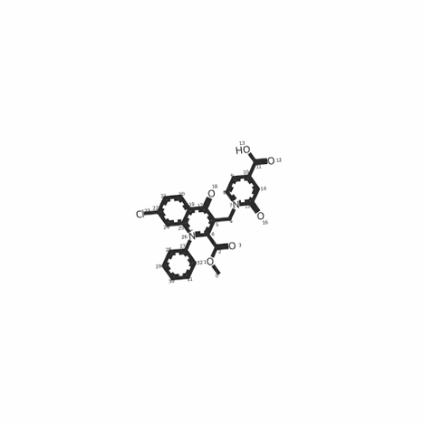 COC(=O)c1c(Cn2ccc(C(=O)O)cc2=O)c(=O)c2ccc(Cl)cc2n1-c1ccccc1